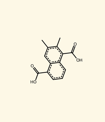 Cc1cc2c(C(=O)O)cccc2c(C(=O)O)c1C